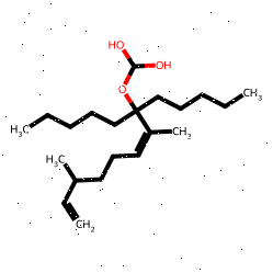 C=CC(C)CCC=C(C)C(CCCCC)(CCCCC)OC(O)O